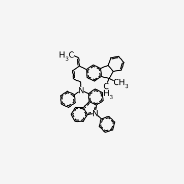 C/C=C(\C=C/CN(c1ccccc1)c1cccc2c1c1ccccc1n2-c1ccccc1)c1ccc2c(c1)C1C=CC=CC1C2(C)C